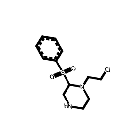 O=S(=O)(c1ccccc1)C1CNCCN1CCCl